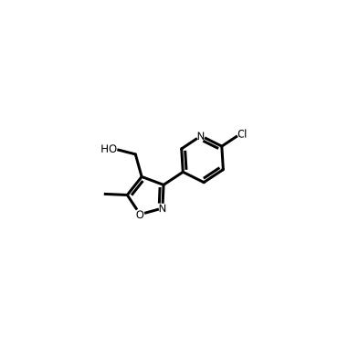 Cc1onc(-c2ccc(Cl)nc2)c1CO